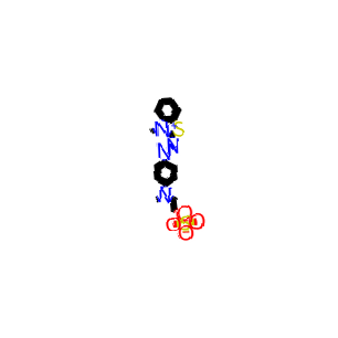 CN(CCOS(=O)(=O)[O-])c1ccc(N=Nc2sc3ccccc3[n+]2C)cc1